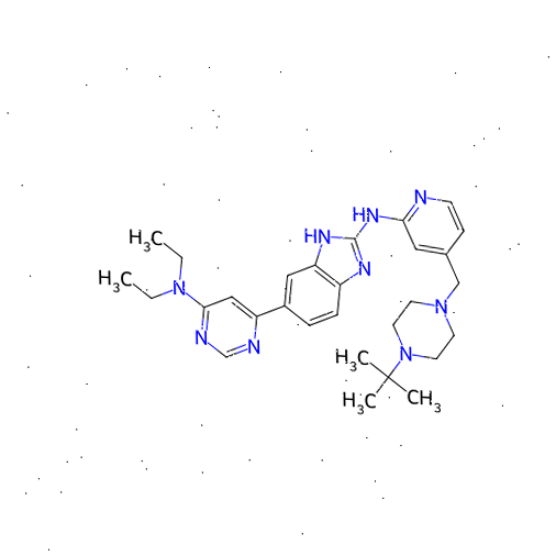 CCN(CC)c1cc(-c2ccc3nc(Nc4cc(CN5CCN(C(C)(C)C)CC5)ccn4)[nH]c3c2)ncn1